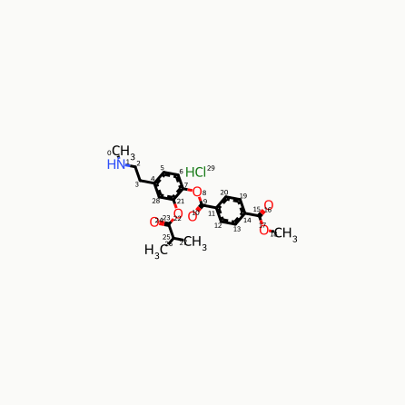 CNCCc1ccc(OC(=O)c2ccc(C(=O)OC)cc2)c(OC(=O)C(C)C)c1.Cl